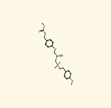 COC(=O)CCc1ccc(OCC(O)C[N+](C)(C)CCc2ccc(OC)cc2)cc1